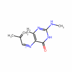 C=C(C)/C=N\c1c(C)nc(NC)[nH]c1=O